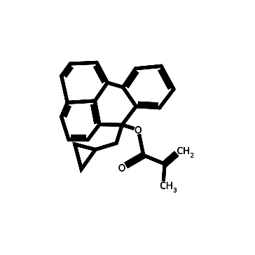 C=C(C)C(=O)OC1(CC2CC2)c2ccccc2-c2cccc3cccc1c23